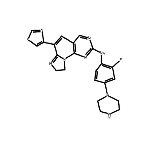 Fc1cc(N2CCNCC2)ccc1Nc1ncc2c(n1)N1CCN=C1C(c1cscn1)=C2